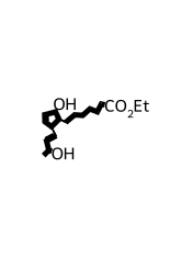 CCOC(=O)CCCCCC[C@@H]1[C@H](O)C=C[C@@H]1/C=C/C(C)O